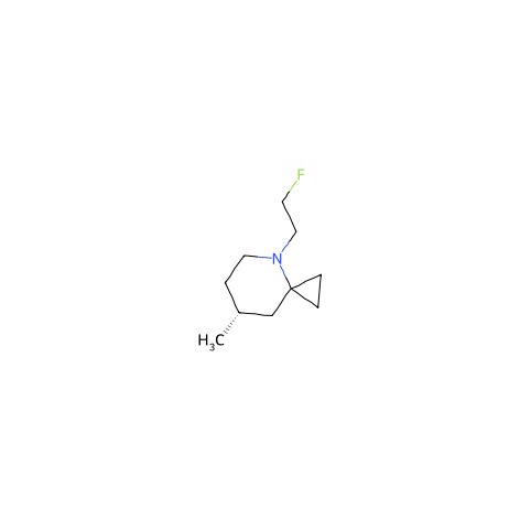 C[C@@H]1CCN(CCF)C2(CC2)C1